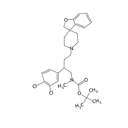 CN(CC(CCN1CCC2(CC1)COc1ccccc12)c1ccc(Cl)c(Cl)c1)C(=O)OC(C)(C)C